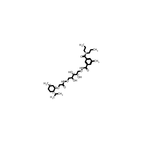 CCCN(CCC)C(=O)c1cc(C)cc(C(=O)NOC[C@H](O)[C@H](O)C(O)CONC(=O)CO[C@@H]2C[C@H](C)CC[C@H]2C(C)C)c1